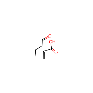 C=CC(=O)O.CCCC=O